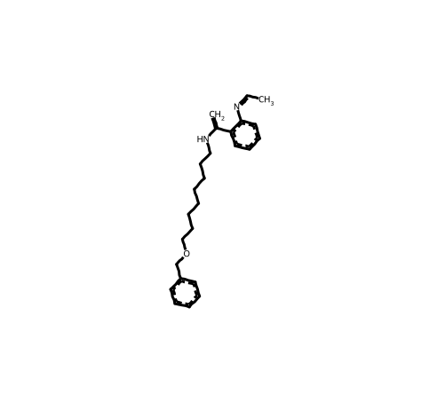 C=C(NCCCCCCCCOCc1ccccc1)c1ccccc1/N=C\C